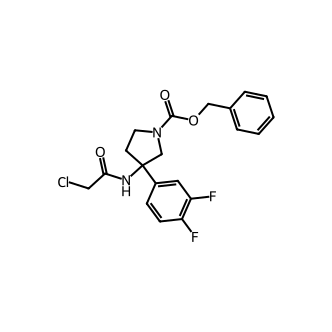 O=C(CCl)NC1(c2ccc(F)c(F)c2)CCN(C(=O)OCc2ccccc2)C1